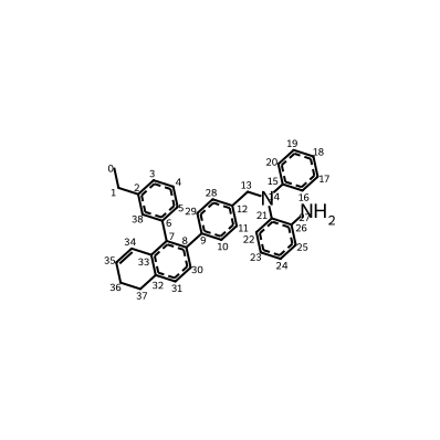 CCc1cccc(-c2c(-c3ccc(CN(c4ccccc4)c4ccccc4N)cc3)ccc3c2C=CCC3)c1